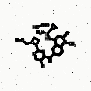 COCC1CCN1c1ncc(Cl)c(Nc2ccc3c(c2)c(N[C@H](C)C2CC2)cc(=O)n3C)n1.O=CO